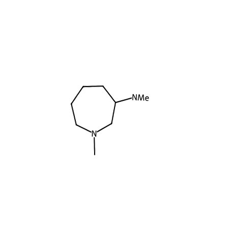 CNC1CCCCN(C)C1